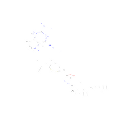 C=C(CCn1ccc2nc(N)nc(N)c21)c1ccc(C(=O)N[C@@H](CCC(=O)O)C(=O)O)s1